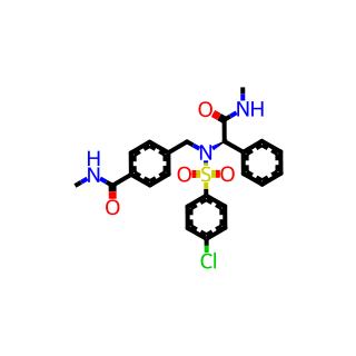 CNC(=O)c1ccc(CN([C@@H](C(=O)NC)c2ccccc2)S(=O)(=O)c2ccc(Cl)cc2)cc1